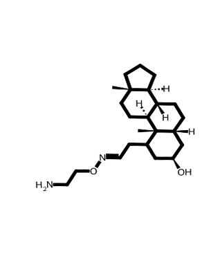 C[C@@]12CCC[C@H]1[C@@H]1CC[C@@H]3C[C@@H](O)CC(C/C=N/OCCN)[C@]3(C)[C@H]1CC2